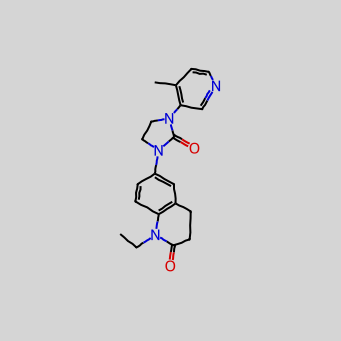 CCN1C(=O)CCc2cc(N3CCN(c4cnccc4C)C3=O)ccc21